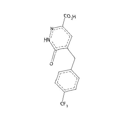 O=C(O)c1cc(Cc2ccc(C(F)(F)F)cc2)c(=O)[nH]n1